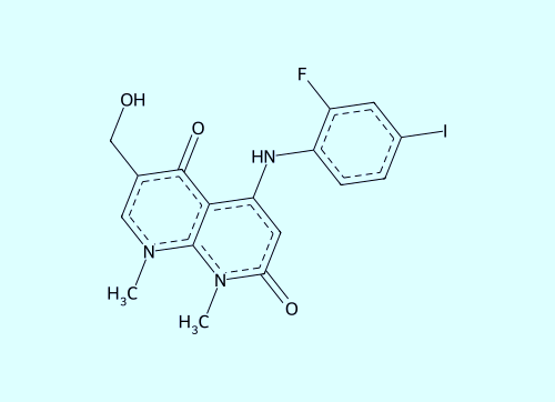 Cn1cc(CO)c(=O)c2c(Nc3ccc(I)cc3F)cc(=O)n(C)c21